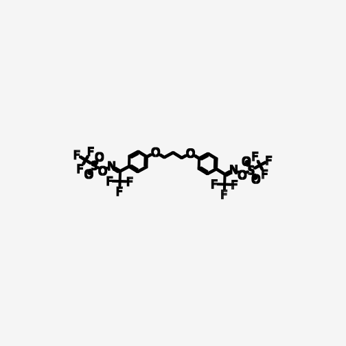 O=S(=O)(O/N=C(/c1ccc(OCCCOc2ccc(/C(=N/OS(=O)(=O)C(F)(F)F)C(F)(F)F)cc2)cc1)C(F)(F)F)C(F)(F)F